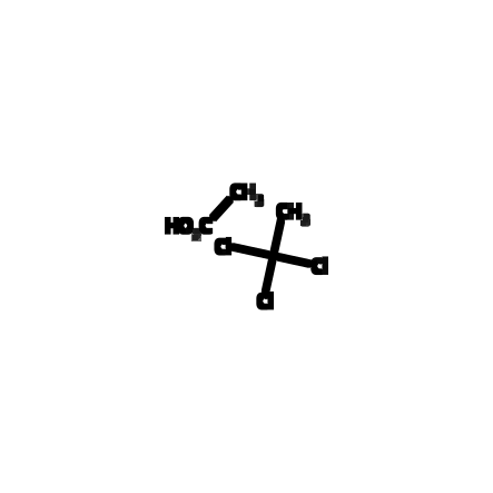 CC(=O)O.CC(Cl)(Cl)Cl